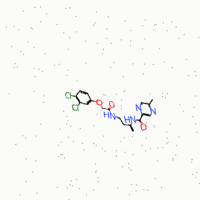 C=C(CCNC(=O)COc1ccc(Cl)c(Cl)c1)NC(=O)c1cnc(C)cn1